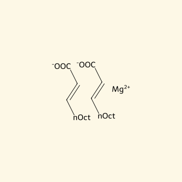 CCCCCCCCC=CC(=O)[O-].CCCCCCCCC=CC(=O)[O-].[Mg+2]